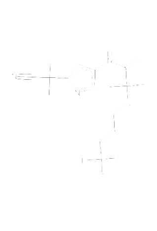 C=C(Nc1cc(C(C)(C)C#N)no1)C(C)(C)SCCCC(F)(F)F